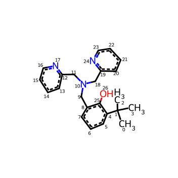 CC(C)(C)c1cccc(CN(Cc2ccccn2)Cc2ccccn2)c1O